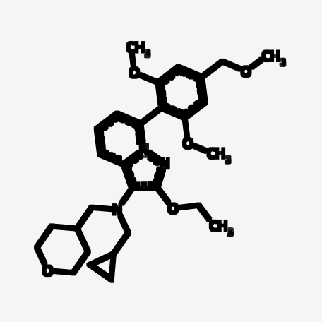 CCOc1nn2c(-c3c(OC)cc(COC)cc3OC)cccc2c1N(CC1CCOCC1)CC1CC1